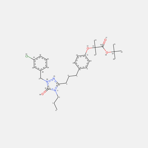 CCCn1c(CCCc2ccc(OC(C)(C)C(=O)OC(C)(C)C)cc2)nn(Cc2cccc(Cl)c2)c1=O